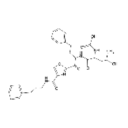 CC(C)CC(NC(=O)O)C(=O)NC(CCc1ccccc1)C(=O)c1nc(C(=O)NCCCc2ccccc2)co1